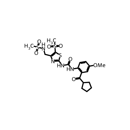 COc1ccc(NC(=O)Nc2nc(CNS(C)(=O)=O)c(S(C)(=O)=O)s2)c(C(=O)C2CCCC2)c1